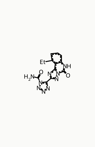 CCc1cccc2[nH]c(=O)n3nc(-c4nnnn4C(N)=O)nc3c12